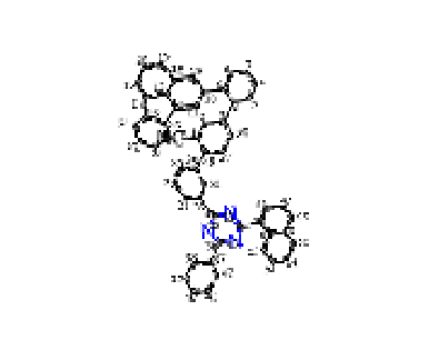 N#Cc1cc(-c2ccccc2-c2cc3c4c(cccc4c2)-c2ccccc2-3)ccc1-c1cccc(-c2nc(-c3ccccc3)nc(-c3cccc4ccccc34)n2)c1